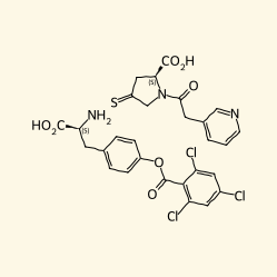 N[C@@H](Cc1ccc(OC(=O)c2c(Cl)cc(Cl)cc2Cl)cc1)C(=O)O.O=C(O)[C@@H]1CC(=S)CN1C(=O)Cc1cccnc1